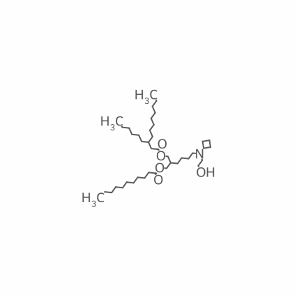 CCCCCCCCCCC(=O)OCC(CCCCN(CCO)C1CCC1)COC(=O)CC(CCCCCC)CCCCCCCC